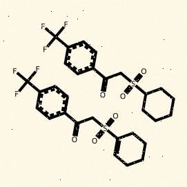 O=C(CS(=O)(=O)C1=CCCCC1)c1ccc(C(F)(F)F)cc1.O=C(CS(=O)(=O)C1CCCCC1)c1ccc(C(F)(F)F)cc1